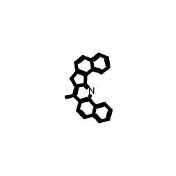 Cc1c2c(nc3c1ccc1ccccc13)-c1c(ccc3ccccc13)C2